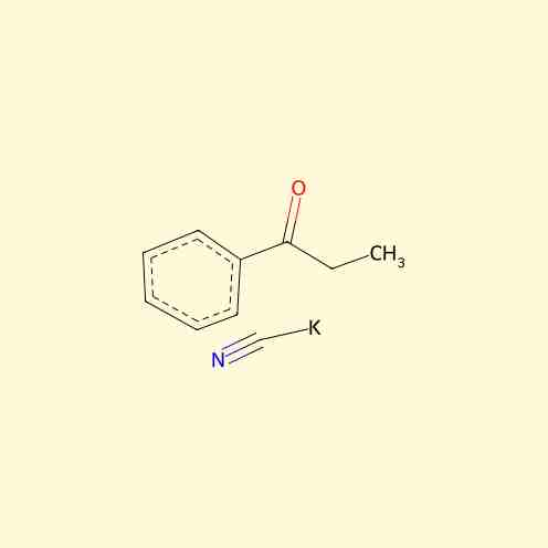 CCC(=O)c1ccccc1.N#[C][K]